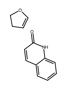 C1=COCC1.O=c1ccc2ccccc2[nH]1